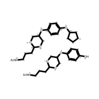 CC(=O)NCCCC1OCC(Oc2ccc(O)cc2)CO1.CC(=O)NCCCC1OCC(Oc2ccc(OC3CCCC3)cc2)CO1